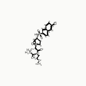 COCCN(C(=O)[C@H](C)[N+]12CC[C@H](NS(=O)(=O)c3ccc4cc(Cl)ccc4c3)C1O2)C(C)C